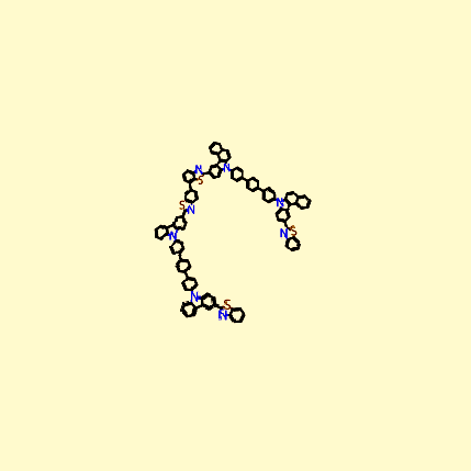 c1ccc2c(c1)ccc1c2c2cc(-c3nc4ccccc4s3)ccc2n1-c1ccc(-c2ccc(-c3ccc(-n4c5ccc(-c6nc7cccc(-c8ccc9nc(-c%10ccc%11c(c%10)c%10ccccc%10n%11-c%10ccc(-c%11ccc(-c%12ccc(-n%13c%14ccccc%14c%14cc(-c%15nc%16ccccc%16s%15)ccc%14%13)cc%12)cc%11)cc%10)sc9c8)c7s6)cc5c5c6ccccc6ccc54)cc3)cc2)cc1